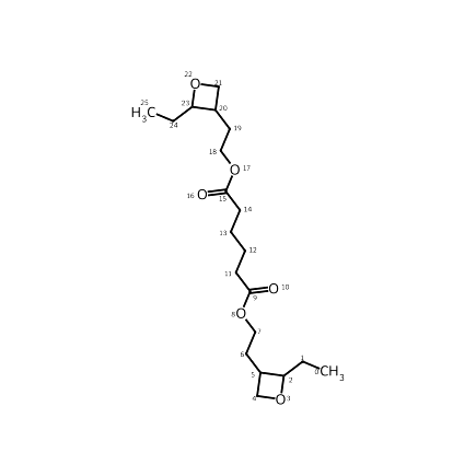 CCC1OCC1CCOC(=O)CCCCC(=O)OCCC1COC1CC